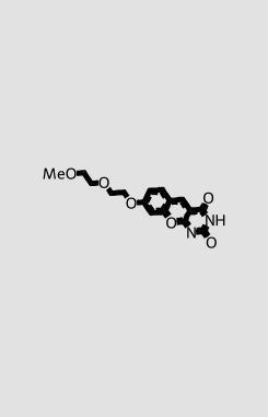 COCCOCCOc1ccc2cc3c(=O)[nH]c(=O)nc-3oc2c1